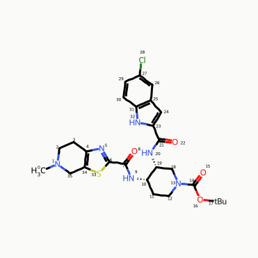 CN1CCc2nc(C(=O)N[C@H]3CCN(C(=O)OC(C)(C)C)C[C@H]3NC(=O)c3cc4cc(Cl)ccc4[nH]3)sc2C1